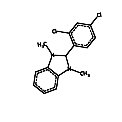 CN1c2ccccc2N(C)C1c1ccc(Cl)cc1Cl